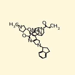 C=CC(=O)N1CC2CC(=O)CC1CN2c1nc(O[C@@H]2CN(C)C[C@H]2OC)nc2c1CN(C1CCc3ccccc31)C2